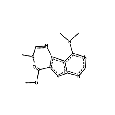 COC(=O)c1sc2ncnc(N(C)C)c2c1/N=C\N(C)C